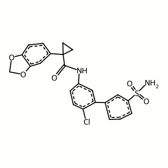 NS(=O)(=O)c1cccc(-c2cc(NC(=O)C3(c4ccc5c(c4)OCO5)CC3)ccc2Cl)c1